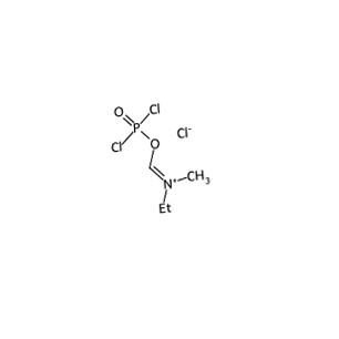 CC[N+](C)=COP(=O)(Cl)Cl.[Cl-]